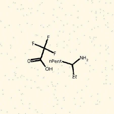 CCCCCC(N)CC.O=C(O)C(F)(F)F